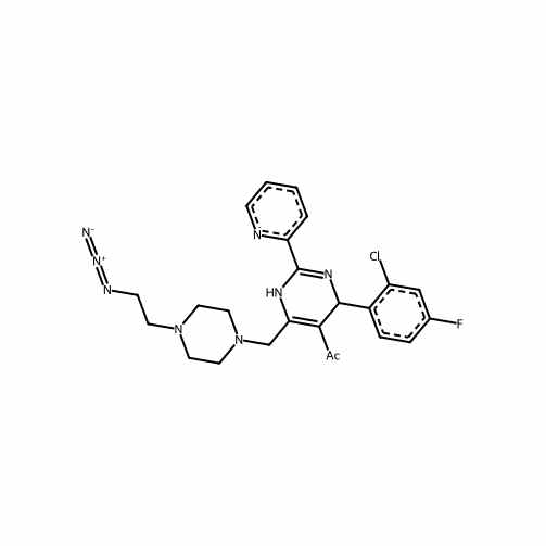 CC(=O)C1=C(CN2CCN(CCN=[N+]=[N-])CC2)NC(c2ccccn2)=NC1c1ccc(F)cc1Cl